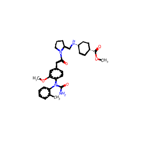 COc1cc(CC(=O)N2CCCC2CN[C@H]2CC[C@@H](C(=O)OC)CC2)ccc1N(C(N)=O)c1ccccc1C